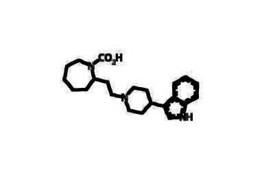 O=C(O)N1CCCCCC1CCN1CCC(c2c[nH]c3ccccc23)CC1